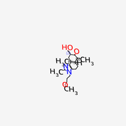 COCCCn1c(C)nc2c1CC[C@H]1[C@H](C)C(=O)/C(=C\O)C[C@]21C